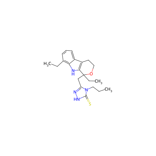 CCCn1c(CC2(CC)OCCc3c2[nH]c2c(CC)cccc32)n[nH]c1=S